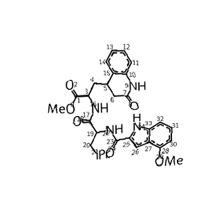 COC(=O)C(CC1CC(=O)Nc2ccccc21)NC(=O)C(CC(C)C)NC(=O)c1cc2c(OC)cccc2[nH]1